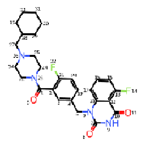 O=C(c1cc(Cn2c(=O)[nH]c(=O)c3c(F)cccc32)ccc1F)N1CCN(CC2CCCCC2)CC1